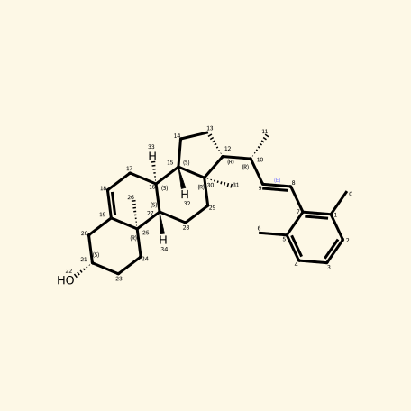 Cc1cccc(C)c1/C=C/[C@@H](C)[C@H]1CC[C@H]2[C@@H]3CC=C4C[C@@H](O)CC[C@]4(C)[C@H]3CC[C@]12C